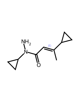 C/C(=C\C(=O)N(N)C1CC1)C1CC1